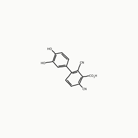 N#Cc1ccc(-c2ccc(O)c(O)c2)c(C#N)c1C(=O)O